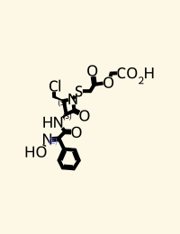 O=C(O)COC(=O)CSN1C(=O)[C@@H](NC(=O)/C(=N/O)c2ccccc2)[C@H]1CCl